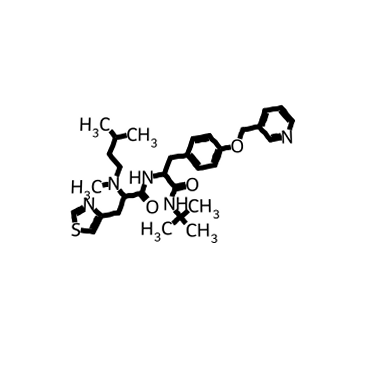 CC(C)CCN(C)C(Cc1cscn1)C(=O)NC(Cc1ccc(OCc2cccnc2)cc1)C(=O)NC(C)(C)C